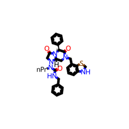 CCCN(C(=O)NCc1ccccc1)N1CC(=O)N2[C@@H](c3ccccc3)C(=O)N(Cc3cccc4c3SCN4)C[C@@H]21